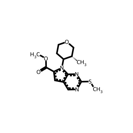 COC(=O)c1cc2cnc(SC)nc2n1C1CCOC[C@@H]1C